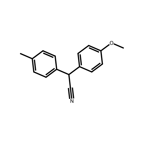 COc1ccc(C(C#N)c2ccc(C)cc2)cc1